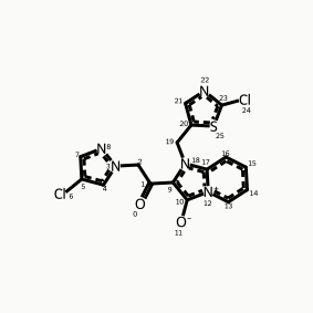 O=C(Cn1cc(Cl)cn1)c1c([O-])[n+]2ccccc2n1Cc1cnc(Cl)s1